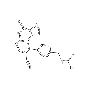 N#Cc1ccc2[nH]c(=O)c3sccc3c2c1-c1ccc(CNC(=O)O)cc1